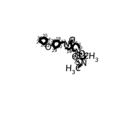 Cc1nc(C)c(S(=O)(=O)N2CCCC3(CCN(Cc4ccc(Oc5ccccc5)cc4)C3=O)C2)s1